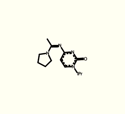 C/C(=N/c1ccn(C(C)C)c(=O)n1)N1CCCC1